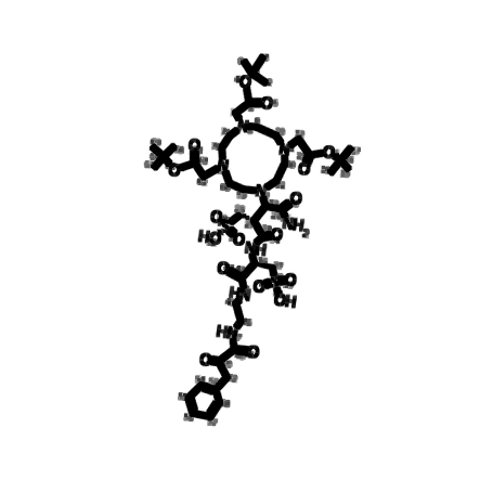 CC(C)(C)OC(=O)CN1CCN(CC(=O)OC(C)(C)C)CCN(C(C(N)=O)[C@@H](CS(=O)(=O)O)C(=O)N[C@@H](CS(=O)(=O)O)C(=O)NCCNC(=O)C(=O)Cc2ccccc2)CCN(CC(=O)OC(C)(C)C)CC1